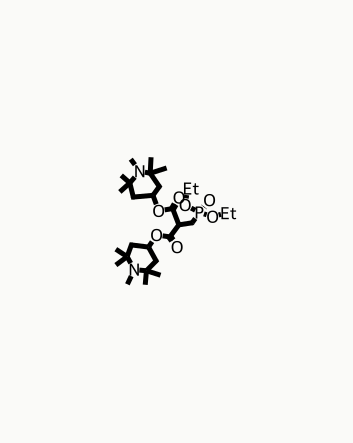 CCOP(=O)(CC(C(=O)OC1CC(C)(C)N(C)C(C)(C)C1)C(=O)OC1CC(C)(C)N(C)C(C)(C)C1)OCC